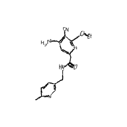 CCOc1nc(C(=O)NCc2ccc(C)nc2)cc(N)c1C#N